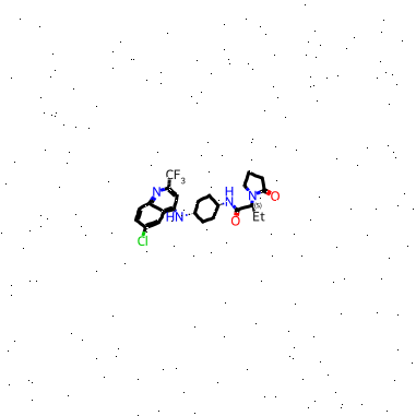 CC[C@@H](C(=O)N[C@H]1CC[C@@H](Nc2cc(C(F)(F)F)nc3ccc(Cl)cc23)CC1)N1CCCC1=O